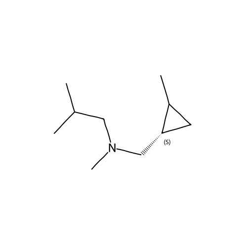 CC(C)CN(C)C[C@H]1CC1C